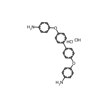 Cl.Cl.Nc1ccc(Oc2ccc(-c3ccc(Oc4ccc(N)cc4)cc3)cc2)cc1